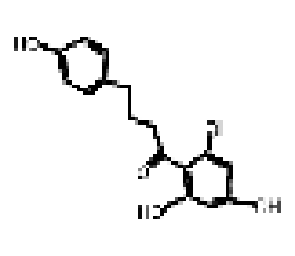 O=C(CCCc1ccc(O)cc1)c1c(O)cc(O)cc1O